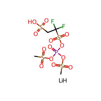 CS(=O)(=O)OP(=O)(OS(C)(=O)=O)OS(=O)(=O)C(F)(F)CS(=O)(=O)O.[LiH]